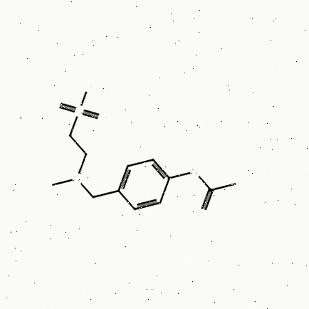 CC(=O)Nc1ccc(CN(C)CCS(=O)(=O)O)cc1